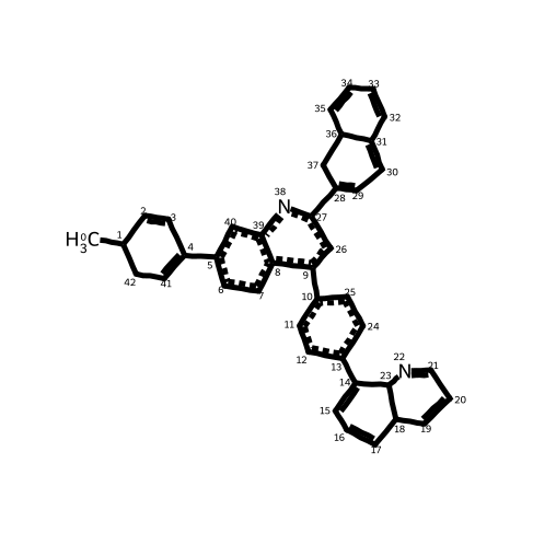 CC1C=CC(c2ccc3c(-c4ccc(C5=CC=CC6C=CC=NC56)cc4)cc(C4=CC=C5C=CC=CC5C4)nc3c2)=CC1